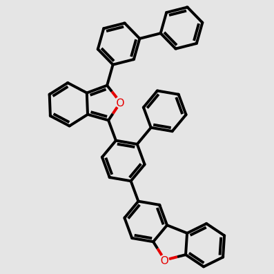 c1ccc(-c2cccc(-c3oc(-c4ccc(-c5ccc6oc7ccccc7c6c5)cc4-c4ccccc4)c4ccccc34)c2)cc1